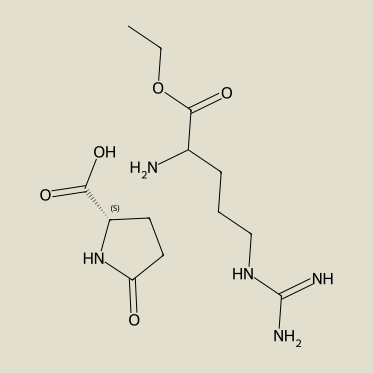 CCOC(=O)C(N)CCCNC(=N)N.O=C1CC[C@@H](C(=O)O)N1